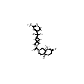 O=C1CO[C@H]2CCN(C(=O)N3CC4(CC(C(F)(F)c5ccnc(C(F)(F)F)c5)C4)C3)C[C@H]2N1